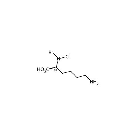 NCCCC[C@@H](C(=O)O)N(Cl)Br